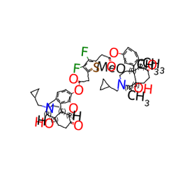 COc1c(OC(=O)Cc2sc(CC(=O)Oc3ccc4c5c3O[C@H]3C(=O)CC[C@@]6(O)[C@@H](C4)N(CC4CC4)CC[C@]536)c(F)c2F)ccc(C)c1[C@]12CCN(CC3CC3)[C@H](C)[C@]1(O)CCC(=O)[C@@H]2C